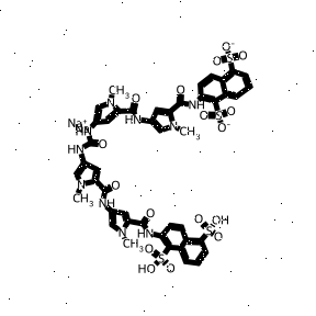 Cn1cc(NC(=O)Nc2cc(C(=O)Nc3cc(C(=O)Nc4ccc5c(S(=O)(=O)O)cccc5c4S(=O)(=O)O)n(C)c3)n(C)c2)cc1C(=O)Nc1cc(C(=O)Nc2ccc3c(S(=O)(=O)[O-])cccc3c2S(=O)(=O)[O-])n(C)c1.[Na+].[Na+]